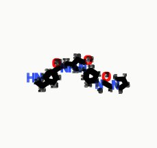 CN(C(=O)CN1CCCC1)c1ccc(N2CC(CNC(=O)c3ccc4cc[nH]c4c3)CC2=O)cc1